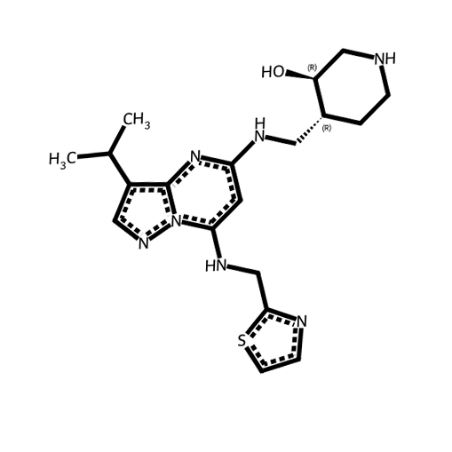 CC(C)c1cnn2c(NCc3nccs3)cc(NC[C@H]3CCNC[C@@H]3O)nc12